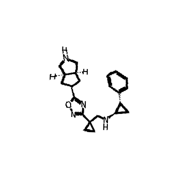 c1ccc([C@@H]2C[C@H]2NCC2(c3noc([C@H]4C[C@H]5CNC[C@H]5C4)n3)CC2)cc1